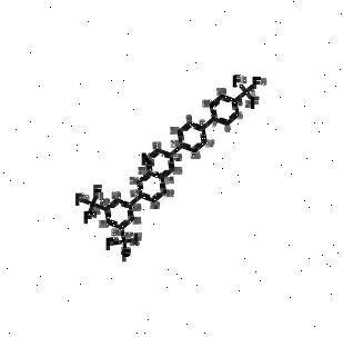 FC(F)(F)c1ccc(-c2ccc(-c3cnc4cc(-c5cc(C(F)(F)F)cc(C(F)(F)F)c5)ccc4c3)cc2)cc1